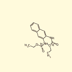 CCO[PH](=O)Nc1cc2ccccc2cc1N[PH](=O)OCC